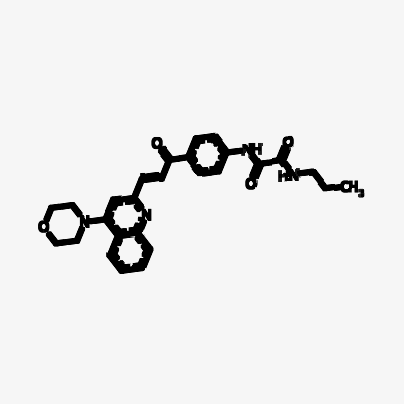 CCCNC(=O)C(=O)Nc1ccc(C(=O)C=Cc2cc(N3CCOCC3)c3ccccc3n2)cc1